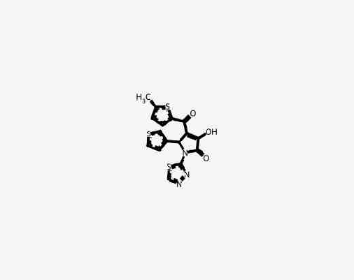 Cc1ccc(C(=O)C2=C(O)C(=O)N(c3nncs3)C2c2ccsc2)s1